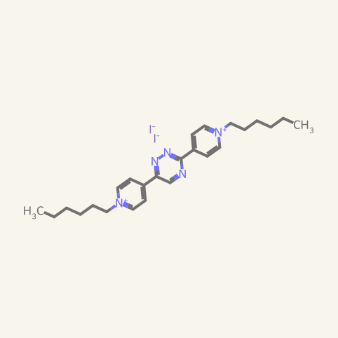 CCCCCC[n+]1ccc(-c2cnc(-c3cc[n+](CCCCCC)cc3)nn2)cc1.[I-].[I-]